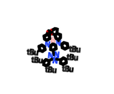 CC(C)(C)c1ccc(N2c3cc(-c4nc(-c5cc(C(C)(C)C)cc(C(C)(C)C)c5)nc(-c5cc(C(C)(C)C)cc(C(C)(C)C)c5)n4)cc4c3B(c3c2ccc2ccccc32)c2c(ccc3ccccc23)N4c2ccc(C(C)(C)C)cc2)cc1